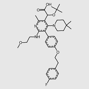 COCCNc1nc(C)c(C(OC(C)(C)C)C(=O)O)c(N2CCC(C)(C)CC2)c1-c1ccc(OCCc2ccc(F)cc2)cc1